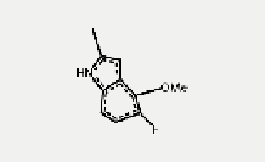 COc1c(F)ccc2[nH]c(C)cc12